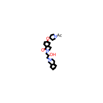 CC(=O)N1CCC(Oc2ccc3c(c2)CCN(C[C@H](O)CN2CCc4ccccc4C2)C3=O)CC1